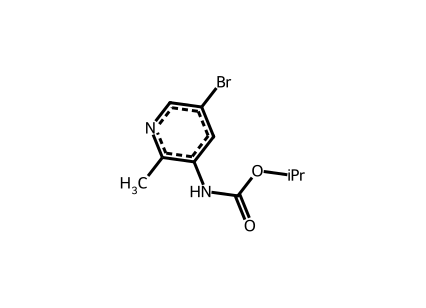 Cc1ncc(Br)cc1NC(=O)OC(C)C